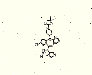 Cn1cncc1C(N=[N+]=[N-])C1=Cc2cccnc2[C@@H](C2CCN(C(=O)OC(C)(C)C)CC2)c2ccc(Cl)cc21